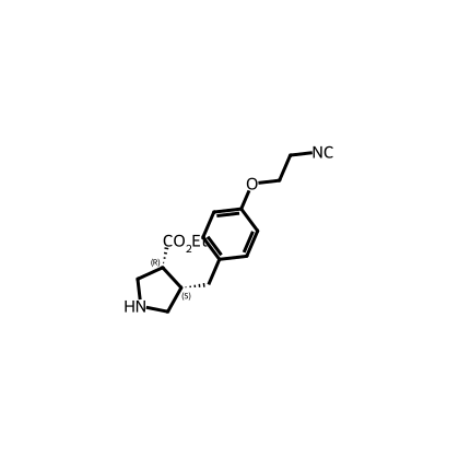 [C-]#[N+]CCOc1ccc(C[C@@H]2CNC[C@@H]2C(=O)OCC)cc1